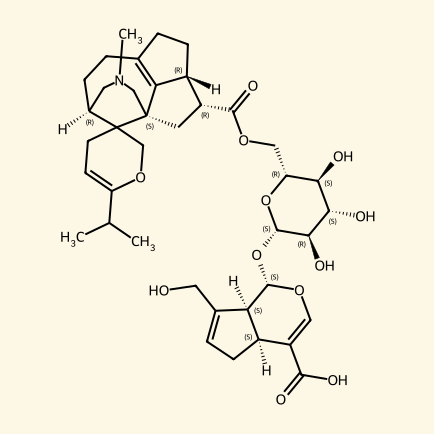 CC(C)C1=CCC2(CO1)[C@H]1CCC3=C4[C@H](CC3)[C@H](C(=O)OC[C@H]3O[C@@H](O[C@@H]5OC=C(C(=O)O)[C@H]6CC=C(CO)[C@@H]56)[C@H](O)[C@@H](O)[C@@H]3O)C[C@]42CN(C)C1